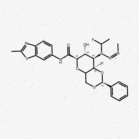 C/N=N\N(C(C)F)[C@@H]1[C@@H](O)[C@H](C(=O)Nc2ccc3nc(C)sc3c2)OC2CO[C@H](c3ccccc3)O[C@@H]21